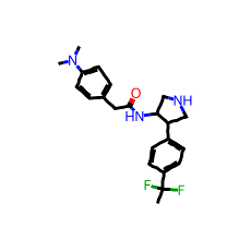 CN(C)c1ccc(CC(=O)NC2CNCC2c2ccc(C(C)(F)F)cc2)cc1